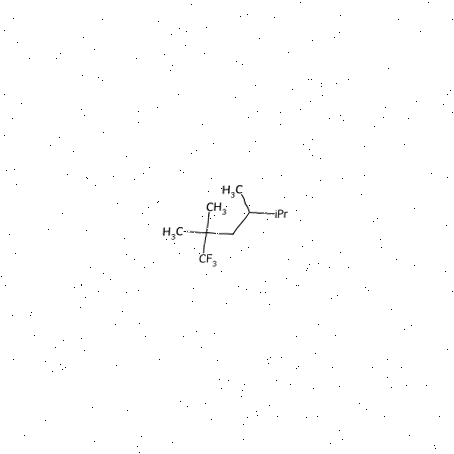 CC(C)C(C)CC(C)(C)C(F)(F)F